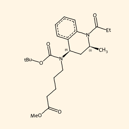 CCC(=O)N1c2ccccc2[C@H](N(CCCCC(=O)OC)C(=O)OC(C)(C)C)C[C@@H]1C